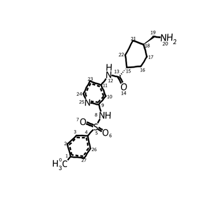 Cc1ccc(S(=O)(=O)Nc2cc(NC(=O)[C@H]3CC[C@H](CN)CC3)ccn2)cc1